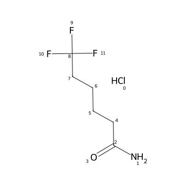 Cl.NC(=O)CCCCC(F)(F)F